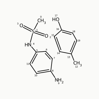 CS(=O)(=O)Nc1ccc(N)cc1.Cc1ccc(O)cc1